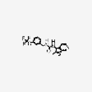 Cc1sc2cnccc2c1NC(=O)NCc1cccc(OC(F)(F)F)c1